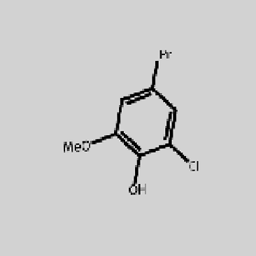 COc1cc(C(C)C)cc(Cl)c1O